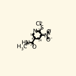 CNC(=O)c1cnc(SCl)c([N+](=O)[O-])c1